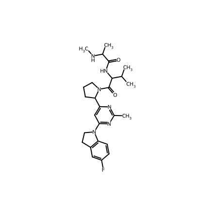 CNC(C)C(=O)NC(C(=O)N1CCCC1c1cc(N2CCc3cc(F)ccc32)nc(C)n1)C(C)C